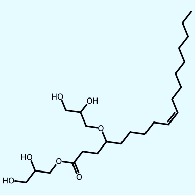 CCCCCCCC/C=C\CCCCC(CCC(=O)OCC(O)CO)OCC(O)CO